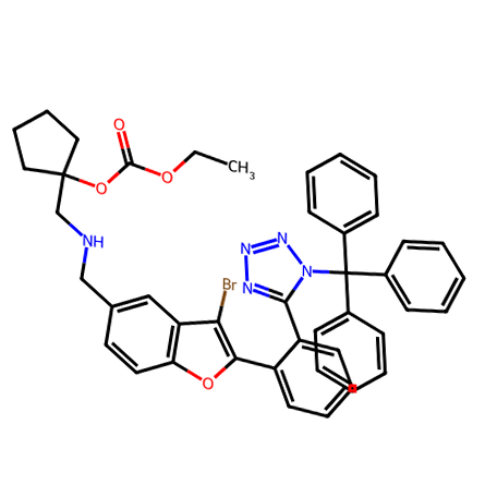 CCOC(=O)OC1(CNCc2ccc3oc(-c4ccccc4-c4nnnn4C(c4ccccc4)(c4ccccc4)c4ccccc4)c(Br)c3c2)CCCC1